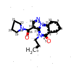 C=CCn1c(=O)c2ccccc2n2ncc(C(=O)N3CCCC3)c12